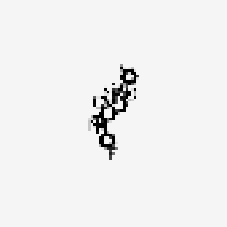 COC(=O)C12Cc3cnn(-c4ccc(F)cc4)c3C=C1CCN(S(=O)(=O)c1cccc(C)c1)C2